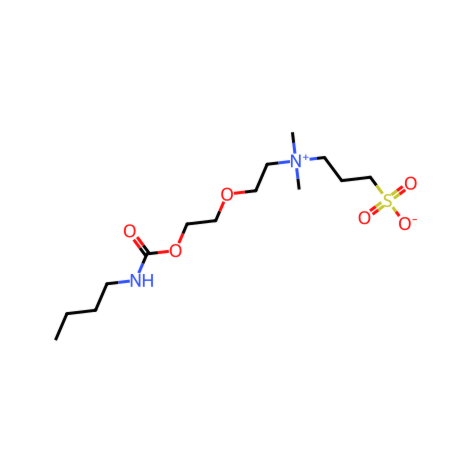 CCCCNC(=O)OCCOCC[N+](C)(C)CCCS(=O)(=O)[O-]